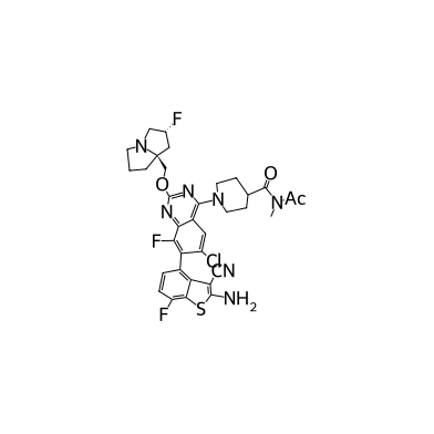 CC(=O)N(C)C(=O)C1CCN(c2nc(OC[C@@]34CCCN3C[C@H](F)C4)nc3c(F)c(-c4ccc(F)c5sc(N)c(C#N)c45)c(Cl)cc23)CC1